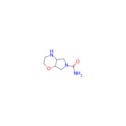 NC(=O)N1CC2NCCOC2C1